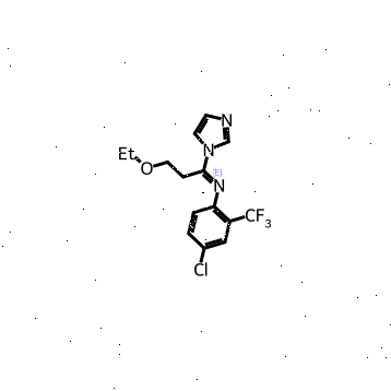 CCOCC/C(=N\c1ccc(Cl)cc1C(F)(F)F)n1ccnc1